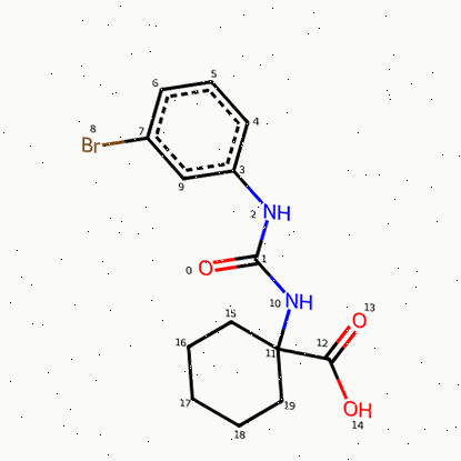 O=C(Nc1cccc(Br)c1)NC1(C(=O)O)CCCCC1